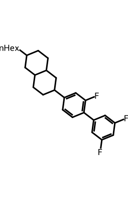 CCCCCCC1CCC2CC(c3ccc(-c4cc(F)cc(F)c4)c(F)c3)CCC2C1